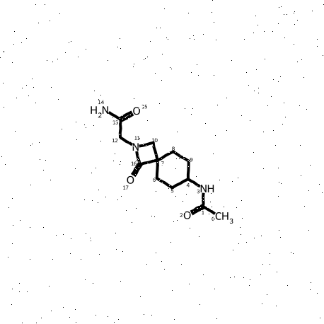 CC(=O)NC1CCC2(CC1)CN(CC(N)=O)C2=O